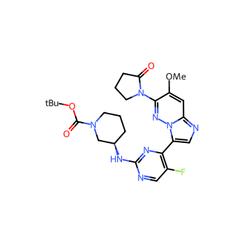 COc1cc2ncc(-c3nc(N[C@@H]4CCCN(C(=O)OC(C)(C)C)C4)ncc3F)n2nc1N1CCCC1=O